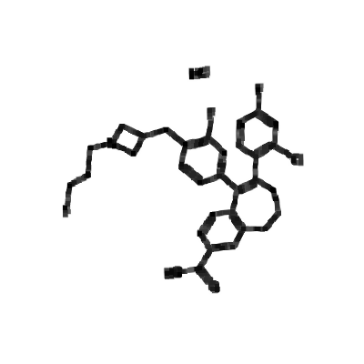 Cl.O=C(O)c1ccc2c(c1)CCCC(c1ccc(F)cc1Cl)=C2c1ccc(CC2CN(CCCF)C2)c(F)c1